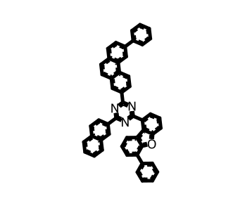 c1ccc(-c2ccc3ccc4cc(-c5nc(-c6ccc7ccccc7c6)nc(-c6cccc7oc8c(-c9ccccc9)cccc8c67)n5)ccc4c3c2)cc1